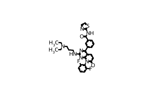 CCN(CC)CCCNc1nc(-c2cccc(C(=O)Nc3nccs3)c2)c2ccc(=O)n(-c3c(F)cccc3F)c2n1